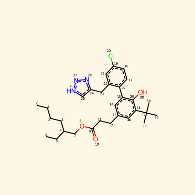 CCCCC(CC)COC(=O)CCc1cc(-c2ccc(Cl)cc2Cc2c[nH]nn2)c(O)c(C(C)(C)C)c1